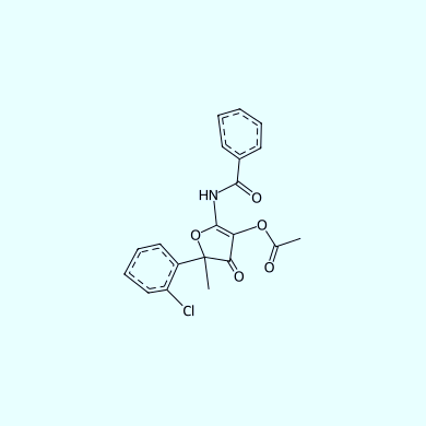 CC(=O)OC1=C(NC(=O)c2ccccc2)OC(C)(c2ccccc2Cl)C1=O